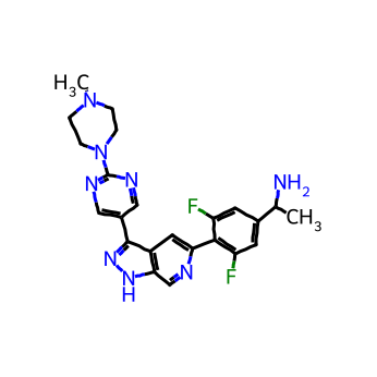 CC(N)c1cc(F)c(-c2cc3c(-c4cnc(N5CCN(C)CC5)nc4)n[nH]c3cn2)c(F)c1